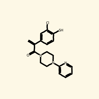 C=C(C(=O)N1CCN(c2ccccn2)CC1)c1ccc(S)c(Cl)c1